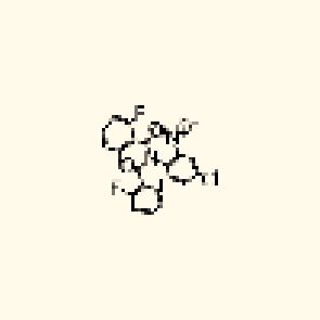 O=C(c1c(F)cccc1F)N(C(=O)c1c(F)cccc1F)c1ccc(Cl)cc1[N+](=O)[O-]